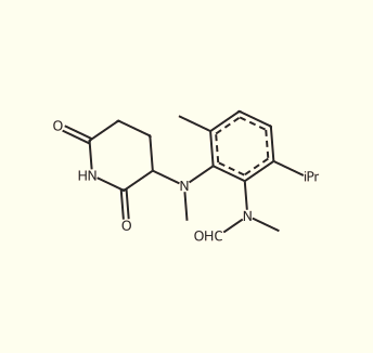 Cc1ccc(C(C)C)c(N(C)C=O)c1N(C)C1CCC(=O)NC1=O